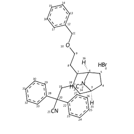 Br.CN1[C@H]2CC[C@@H]1C(CCOCc1ccccc1)C(CC(C#N)(c1ccccc1)c1ccccc1)C2